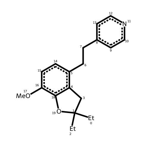 CCC1(CC)Cc2c(CCc3ccncc3)ccc(OC)c2O1